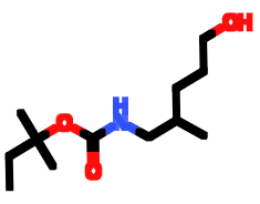 CCC(C)(C)OC(=O)NCC(C)CCCO